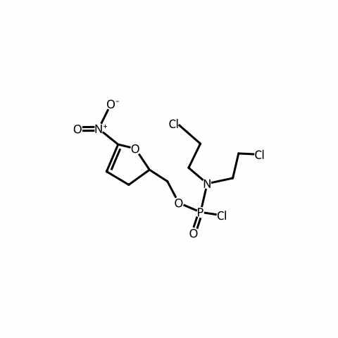 O=[N+]([O-])C1=CCC(COP(=O)(Cl)N(CCCl)CCCl)O1